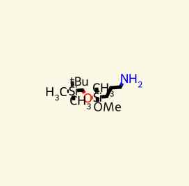 CO[Si](C)(CCCN)OC[Si](C)(C)C(C)(C)C